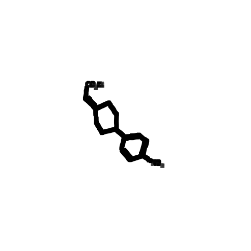 CCOC(=O)C=C1CCC(c2ccc([N+](=O)[O-])cc2)CC1